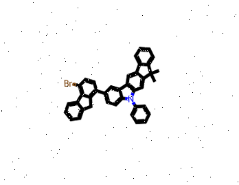 CC1(C)c2ccccc2-c2cc3c4cc(-c5ccc(Br)c6c5Cc5ccccc5-6)ccc4n(-c4ccccc4)c3cc21